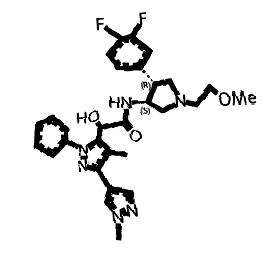 COCCN1C[C@@H](NC(=O)C(O)c2c(C)c(-c3cnn(C)c3)nn2-c2ccccc2)[C@H](c2ccc(F)c(F)c2)C1